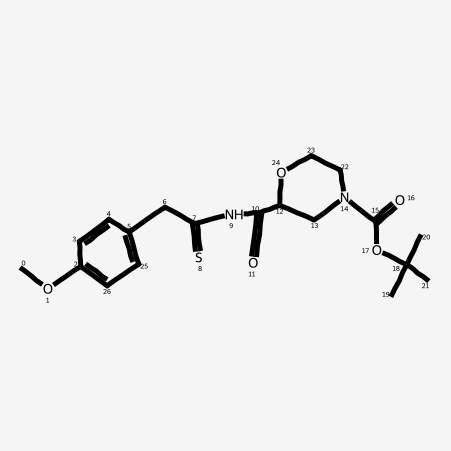 COc1ccc(CC(=S)NC(=O)C2CN(C(=O)OC(C)(C)C)CCO2)cc1